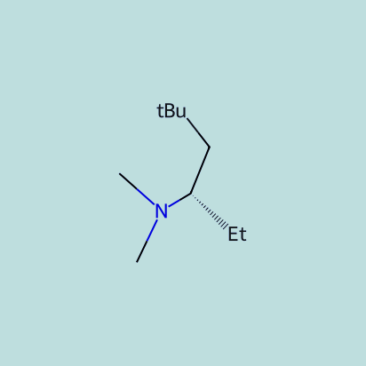 CC[C@@H](CC(C)(C)C)N(C)C